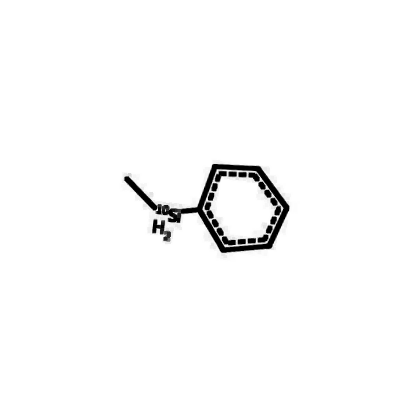 C[10SiH2]c1ccccc1